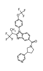 CC(c1nc2cc(C(=O)N3CCC(c4cccnc4)C3)ccc2n1-c1ccc(OC(F)(F)F)cc1)C(F)(F)F